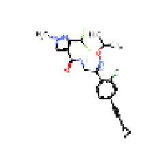 CC(C)O/N=C(\CNC(=O)c1cn(C)nc1C(F)F)c1ccc(C#CC2CC2)cc1Cl